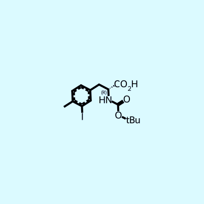 Cc1ccc(C[C@@H](NC(=O)OC(C)(C)C)C(=O)O)cc1I